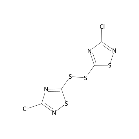 Clc1nsc(SSc2nc(Cl)ns2)n1